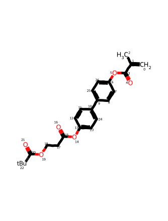 C=C(C)C(=O)Oc1ccc(-c2ccc(OC(=O)CCOC(=O)C(C)(C)C)cc2)cc1